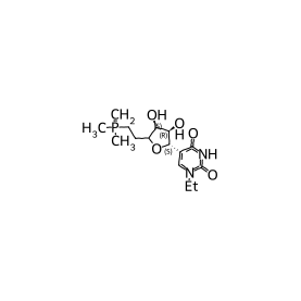 C=P(C)(C)CCC1O[C@@H](c2cn(CC)c(=O)[nH]c2=O)[C@H](O)[C@@H]1O